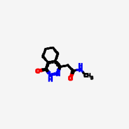 CNC(=O)Cc1n[nH]c(=O)c2c1CCCC2